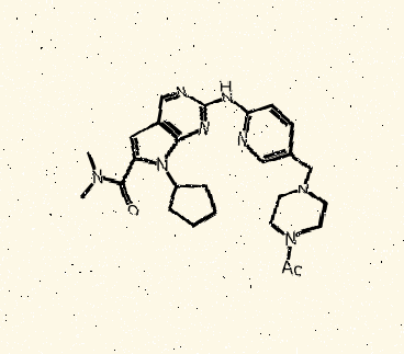 CC(=O)N1CCN(Cc2ccc(Nc3ncc4cc(C(=O)N(C)C)n(C5CCCC5)c4n3)nc2)CC1